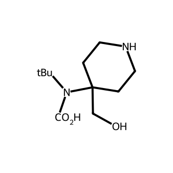 CC(C)(C)N(C(=O)O)C1(CO)CCNCC1